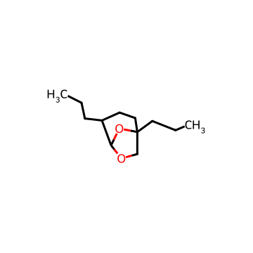 CCCC1CCC2(CCC)COC1O2